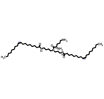 CCCCCCCC/C=C\CCCCCCCC(=O)NCCCCN(CCCNC(=O)CCCCCCC/C=C\CCCCCCCC)C(=O)[C@@H](N)CCCN